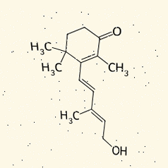 CC1=C(/C=C/C(C)=C/CO)C(C)(C)CCC1=O